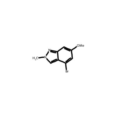 COc1cc(Br)c2cn(C)nc2c1